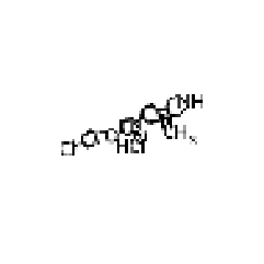 Cl.Cn1c2c(c3ccc(-n4ccc(OCc5ccc(Cl)cc5)cc4=O)cc31)CCNCC2